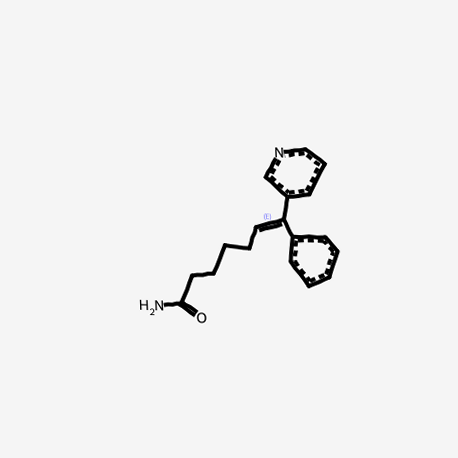 NC(=O)CCCC/C=C(\c1ccccc1)c1cccnc1